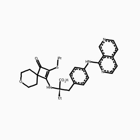 CC[C@@](Cc1ccc(Nc2nccc3ccncc23)cc1)(NC1=C(SC(C)C)C(=O)C12CCOCC2)C(=O)O